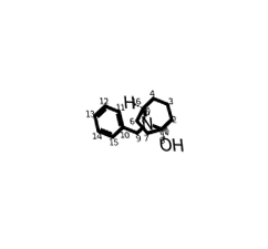 O[C@]12CCC[C@H](CC1)N2Cc1ccccc1